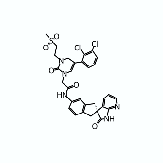 CS(=O)(=O)CCN1CC(c2cccc(Cl)c2Cl)=CN(CC(=O)Nc2ccc3c(c2)C[C@@]2(C3)C(=O)Nc3ncccc32)C1=O